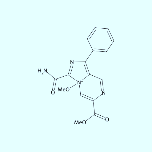 COC(=O)C1=C[N+]2(OC)C(C(N)=O)=NC(c3ccccc3)=C2C=N1